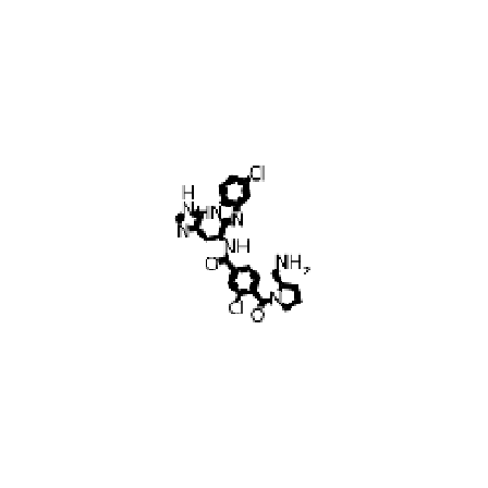 NCC1CCCN1C(=O)c1ccc(C(=O)NC(Cc2c[nH]cn2)c2nc3cc(Cl)ccc3[nH]2)cc1Cl